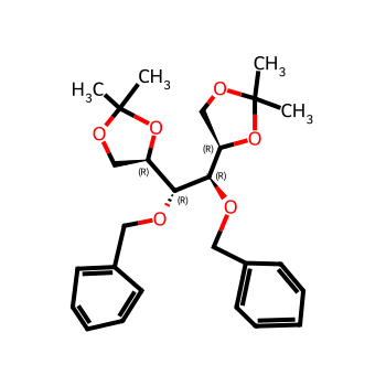 CC1(C)OC[C@H]([C@@H](OCc2ccccc2)[C@H](OCc2ccccc2)[C@H]2COC(C)(C)O2)O1